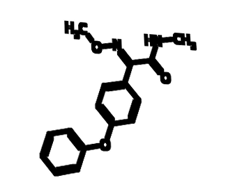 CNC(=O)/C(=N/OC)c1ccc(Oc2ccccc2)cc1